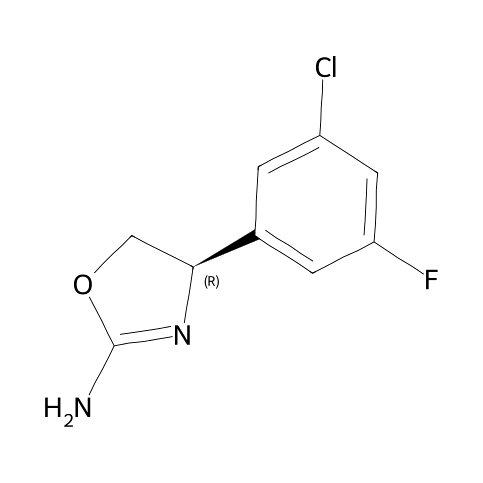 NC1=N[C@H](c2cc(F)cc(Cl)c2)CO1